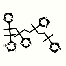 CC(C)(CCC(C)(CCC(C)(CC(C)(c1nccs1)C(C)(C)c1nnc[nH]1)c1cncs1)c1cscn1)c1c[nH]cn1